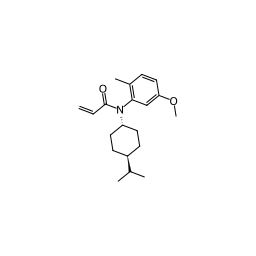 C=CC(=O)N(c1cc(OC)ccc1C)[C@H]1CC[C@H](C(C)C)CC1